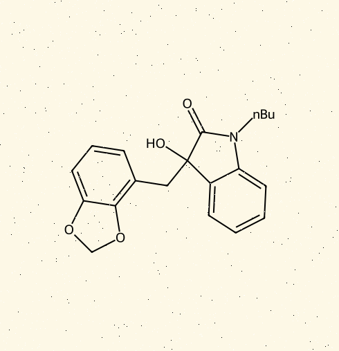 CCCCN1C(=O)C(O)(Cc2cccc3c2OCO3)c2ccccc21